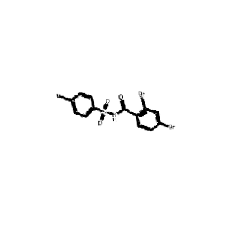 O=C(NS(=O)(=O)c1ccc(I)cc1)c1ccc(Br)cc1Br